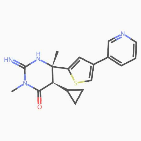 CN1C(=N)N[C@](C)(c2cc(-c3cccnc3)cs2)[C@@H](C2CC2)C1=O